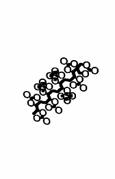 O=C1OCC2(CO1)OC(=O)OC2C1OC(=O)OC1C1OS(=O)(=O)OC1C1OS(=O)(=O)OC1C1OS(=O)(=O)OC1C1OC(=O)OC1C1OC(=O)OC1C1COC(=O)O1